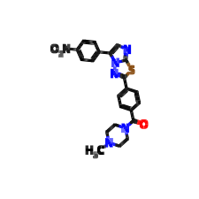 CN1CCN(C(=O)c2ccc(-c3nn4c(-c5ccc([N+](=O)[O-])cc5)cnc4s3)cc2)CC1